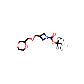 CC(C)(C)OC(=O)N1CC(COCC2COCCO2)C1